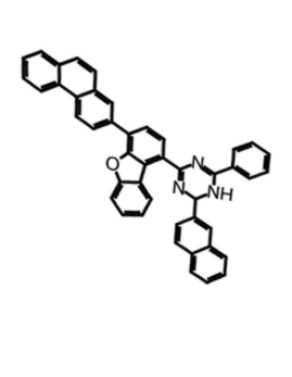 c1ccc(C2=NC(c3ccc(-c4ccc5c(ccc6ccccc65)c4)c4oc5ccccc5c34)=NC(c3ccc4ccccc4c3)N2)cc1